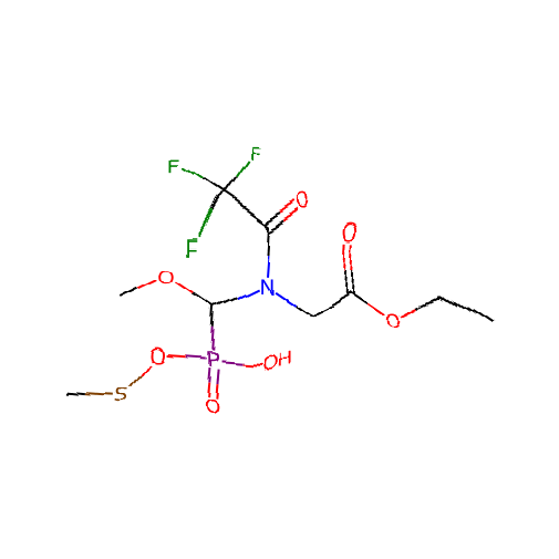 CCOC(=O)CN(C(=O)C(F)(F)F)C(OC)P(=O)(O)OSC